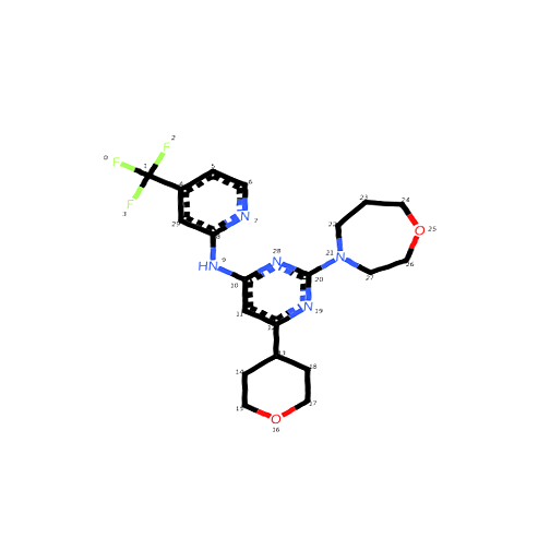 FC(F)(F)c1ccnc(Nc2cc(C3CCOCC3)nc(N3CCCOCC3)n2)c1